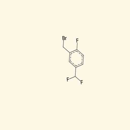 Fc1ccc(C(F)F)cc1CBr